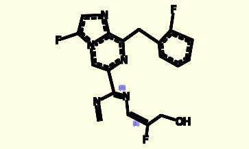 C=N/C(=N\C=C(\F)CO)c1cn2c(F)cnc2c(Cc2ccccc2F)n1